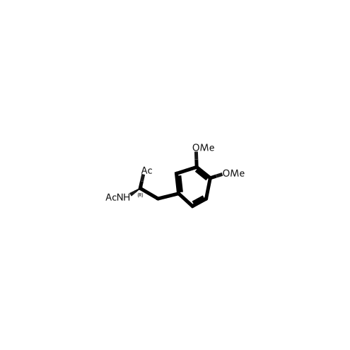 COc1ccc(C[C@@H](NC(C)=O)C(C)=O)cc1OC